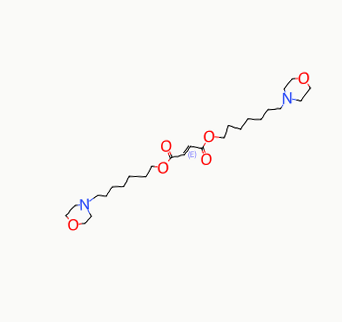 O=C(/C=C/C(=O)OCCCCCCCN1CCOCC1)OCCCCCCCN1CCOCC1